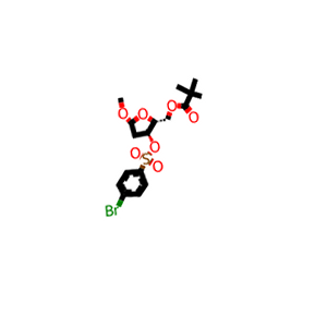 COC1C[C@H](OS(=O)(=O)c2ccc(Br)cc2)[C@@H](COC(=O)C(C)(C)C)O1